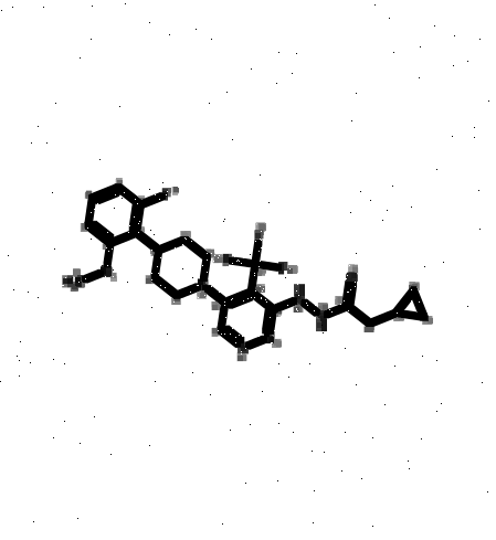 COc1cccc(F)c1C1CCN(c2cnnc(NNC(=O)CC3CC3)c2C(F)(F)F)CC1